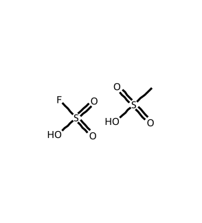 CS(=O)(=O)O.O=S(=O)(O)F